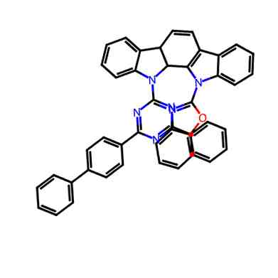 C1=CC2c3ccccc3N(c3nc(-c4ccccc4)nc(-c4ccc(-c5ccccc5)cc4)n3)C2c2c1c1ccccc1n2-c1nc2ccccc2o1